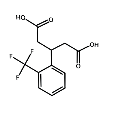 O=C(O)CC(CC(=O)O)c1ccccc1C(F)(F)F